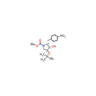 CC(C)(C)OC(=O)N1C[C@H](O[Si](C)(C)C(C)(C)C)[C@@H](O)[C@H]1Cc1ccc([N+](=O)[O-])cc1